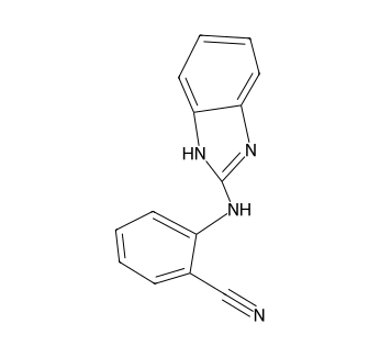 N#Cc1ccccc1Nc1nc2ccccc2[nH]1